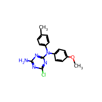 COc1ccc(N(c2ccc(C)cc2)c2nc(N)nc(Cl)n2)cc1